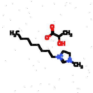 CC(O)C(=O)[O-].CCCCCCCC[N+]1=CN(C)CC1